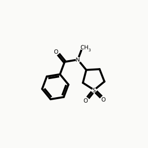 CN(C(=O)c1ccccc1)C1CCS(=O)(=O)C1